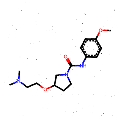 COc1ccc(NC(=O)N2CCC(OCCN(C)C)C2)cc1